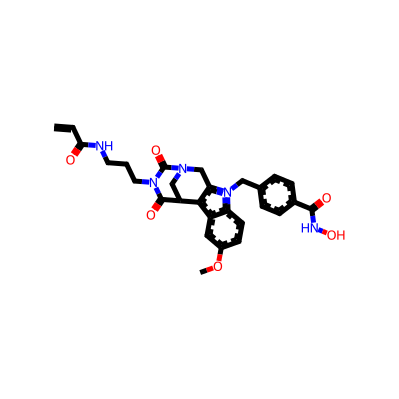 C=CC(=O)NCCCN1C(=O)C2CN(Cc3c2c2cc(OC)ccc2n3Cc2ccc(C(=O)NO)cc2)C1=O